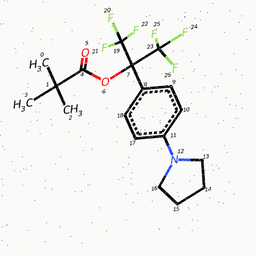 CC(C)(C)C(=O)OC(c1ccc(N2CCCC2)cc1)(C(F)(F)F)C(F)(F)F